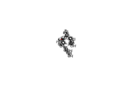 CCC(CC)Nc1c([N+](=O)[O-])cc(C)c(C)c1[N+](=O)[O-].C[C@H](OC(=O)c1cc(Oc2ccc(C(F)(F)F)cc2Cl)ccc1Cl)C(=O)O.C[S+](C)C.O=C(O)CNCP(=O)([O-])O